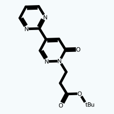 CC(C)(C)OC(=O)CCn1ncc(-c2ncccn2)cc1=O